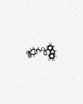 O=C(OCCN1CCS(=O)(=O)CC1)c1cccc2c1-c1ccccc1C2